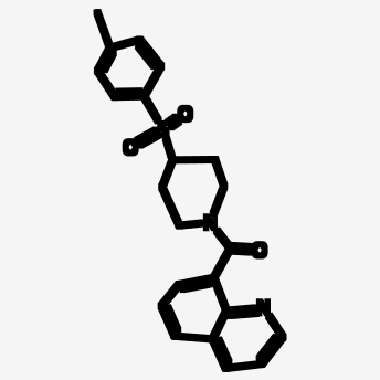 Cc1ccc(S(=O)(=O)C2CCN(C(=O)c3cccc4cccnc34)CC2)cc1